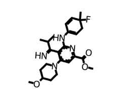 COC(=O)c1cc(N2CCC(OC)CC2)c(C(=N)C(C)C)c(NC2=CCC(C)(F)C=C2)n1